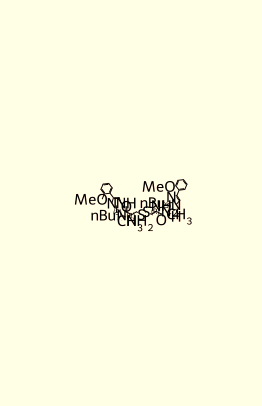 CCCC[C@@H](c1nc(-c2ccccc2OC)c[nH]1)N(C)C(=O)[C@@H](N)CSSC[C@H](N)C(=O)N(C)[C@@H](CCCC)c1nc(-c2ccccc2OC)c[nH]1